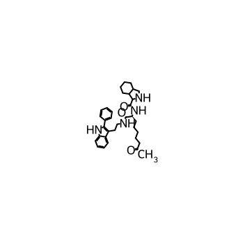 CC(=O)CCCCC[C@H](NC(=O)C1NCC2CCCCC21)C(=O)NCCc1c(-c2ccccc2)[nH]c2ccccc12